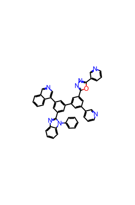 c1ccc(-n2c(-c3cc(-c4cc(-c5cccnc5)cc(-c5nnc(-c6cccnc6)o5)c4)cc(-c4cncc5ccccc45)c3)nc3ccccc32)cc1